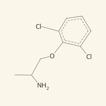 CC(N)COc1c(Cl)cccc1Cl